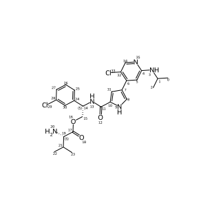 CC(C)Nc1cc(-c2c[nH]c(C(=O)N[C@H](COC(=O)[C@@H](N)C(C)C)c3cccc(Cl)c3)c2)c(Cl)cn1